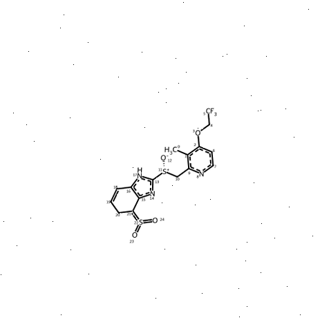 Cc1c(OCC(F)(F)F)ccnc1C[S@@+]([O-])c1nc2c([nH]1)C=CCC2=S(=O)=O